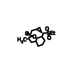 CCS(=O)(=O)CC1CCCC(CC(C)S(=O)(=O)CC2CC2)C1